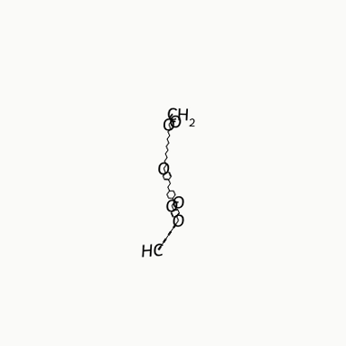 C#CC#CC#CC#COc1ccc(OC(=O)C2CCC(CCc3ccc(OCCCCCCCCCCCOC(=O)C=C)cc3)CC2)cc1